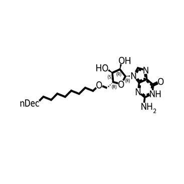 CCCCCCCCCCCCCCCCCCOC[C@H]1O[C@@H](n2cnc3c(=O)[nH]c(N)nc32)[C@H](O)[C@@H]1O